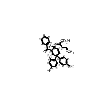 C=CCC(=NC1(C)C=CC(c2ccc(C(C)C)cc2)(c2ccc(F)cc2F)C=C1C(=O)c1ccccc1)C(=O)O